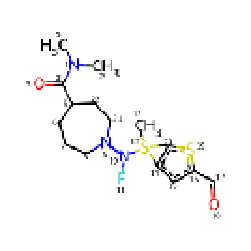 CN(C)C(=O)C1CCCN(N(F)S2(C)c3cc(C=O)sc32)CC1